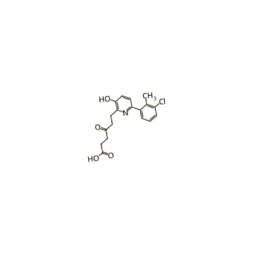 Cc1c(Cl)cccc1-c1ccc(O)c(CCC(=O)CCC(=O)O)n1